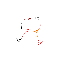 C=CBr.CCOP(O)OCC